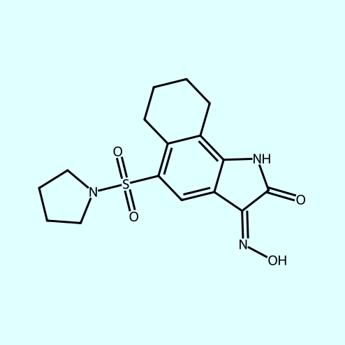 O=C1Nc2c(cc(S(=O)(=O)N3CCCC3)c3c2CCCC3)C1=NO